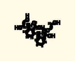 O=C(O)c1ccccc1S.O=C(O)c1ccccc1S.OCCO.OCCO